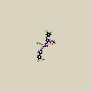 COc1ccc(-c2cnc(SCC(=O)NCCC3CC(Cc4ccc(Cl)c(Cl)c4)CN3C(=O)OC(C)(C)C)nc2)cc1OC.Cl